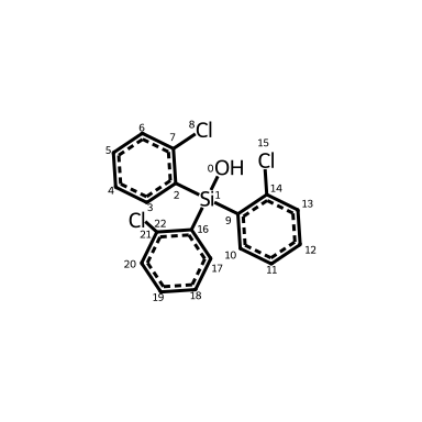 O[Si](c1ccccc1Cl)(c1ccccc1Cl)c1ccccc1Cl